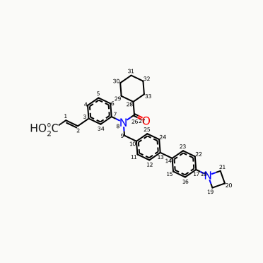 O=C(O)C=Cc1cccc(N(Cc2ccc(-c3ccc(N4CCC4)cc3)cc2)C(=O)C2CCCCC2)c1